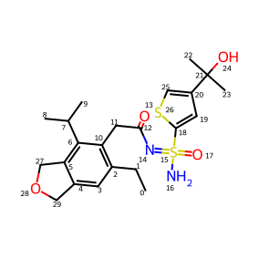 CCc1cc2c(c(C(C)C)c1CC(=O)N=S(N)(=O)c1cc(C(C)(C)O)cs1)COC2